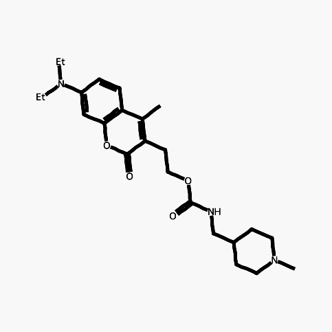 CCN(CC)c1ccc2c(C)c(CCOC(=O)NCC3CCN(C)CC3)c(=O)oc2c1